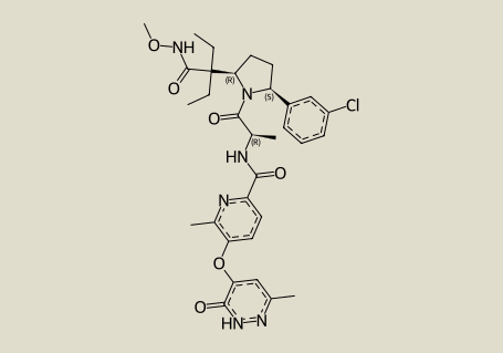 CCC(CC)(C(=O)NOC)[C@H]1CC[C@@H](c2cccc(Cl)c2)N1C(=O)[C@@H](C)NC(=O)c1ccc(Oc2cc(C)n[nH]c2=O)c(C)n1